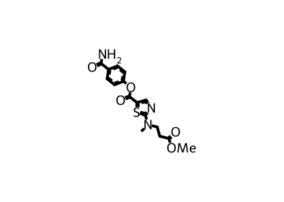 COC(=O)CCN(C)c1ncc(C(=O)Oc2ccc(C(N)=O)cc2)s1